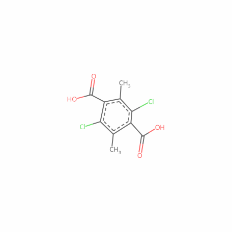 Cc1c(Cl)c(C(=O)O)c(C)c(Cl)c1C(=O)O